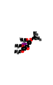 COc1cc(OC)c2c(=P)c(-c3ccc(OCC=C(C)C)c(OC)c3)coc2c1